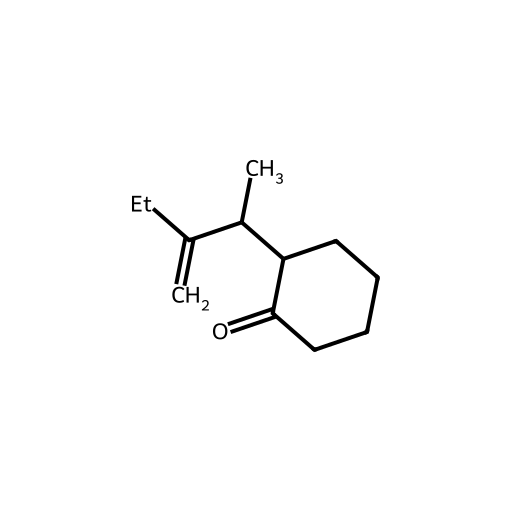 C=C(CC)C(C)C1CCCCC1=O